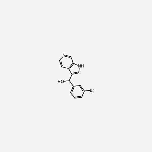 OC(c1cccc(Br)c1)c1c[nH]c2cnccc12